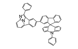 c1ccc(-c2nc3cccc4c5ccc(-c6ccc7c(c6)C6(c8ccccc8-7)c7ccccc7N(c7ccccc7)c7ccccc76)cc5c2n34)cc1